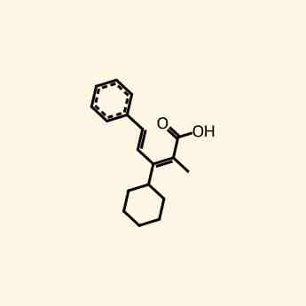 CC(C(=O)O)=C(C=Cc1ccccc1)C1CCCCC1